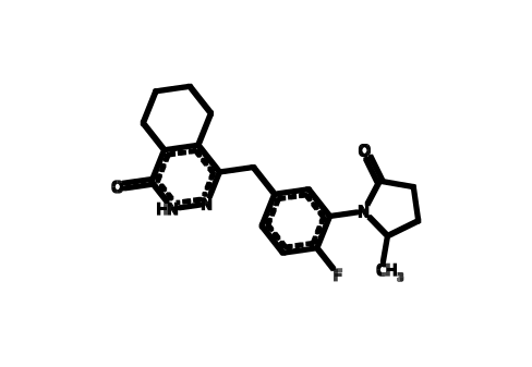 CC1CCC(=O)N1c1cc(Cc2n[nH]c(=O)c3c2CCCC3)ccc1F